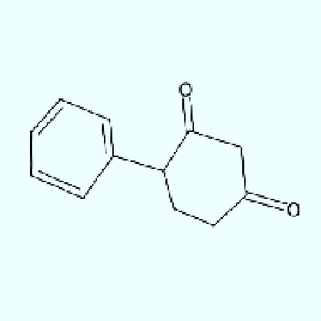 O=C1CCC(c2ccccc2)C(=O)C1